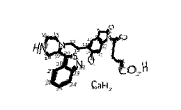 O=C(O)CCC(=O)N1C(=O)Cc2cc(CCN3CCNCC3c3snc4ccccc34)c(Cl)cc21.[CaH2]